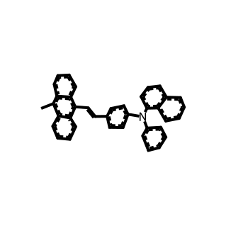 Cc1c2ccccc2c(C=Cc2ccc(N(c3ccccc3)c3cccc4ccccc34)cc2)c2ccccc12